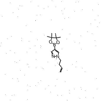 C=CCCn1cc(B2OC(C)(C)C(C)(C)O2)cn1